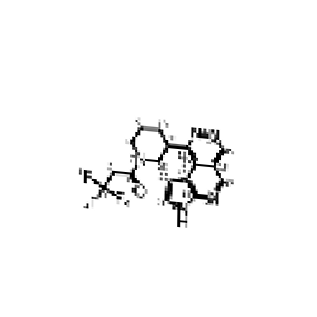 O=C(CC(F)(F)F)N1CCCC(c2nncc3cnc4[nH]ccc4c23)C1